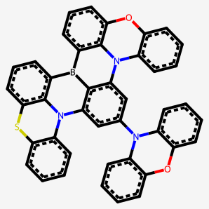 c1ccc2c(c1)Oc1ccccc1N2c1cc2c3c(c1)N1c4ccccc4Sc4cccc(c41)B3c1cccc3c1N2c1ccccc1O3